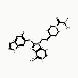 C[C@H](O)C(=O)N1CCC(CCn2c(Sc3cc4occc4cc3Cl)nc3c(N)nccc32)CC1